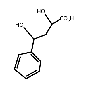 O=C(O)C(O)CC(O)c1ccccc1